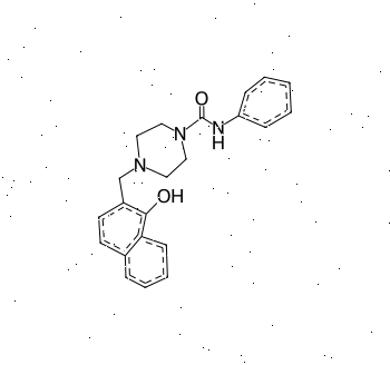 O=C(Nc1ccccc1)N1CCN(Cc2ccc3ccccc3c2O)CC1